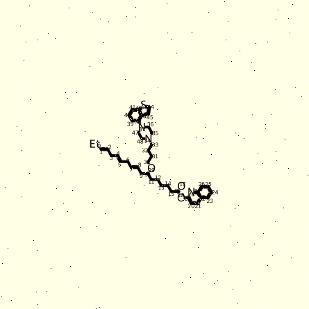 CCC=CCC=CCC=CCC(CCCCCC(=O)Oc1ccc2ccccc2n1)OCCCCN1CCN(c2cccc3sccc23)CC1